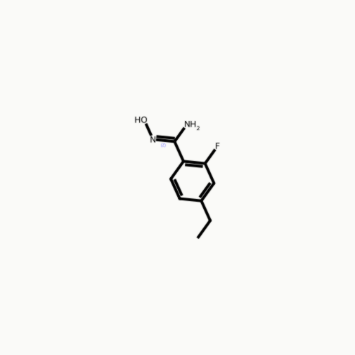 CCc1ccc(/C(N)=N/O)c(F)c1